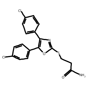 NC(=O)CCSc1nc(-c2ccc(Cl)cc2)c(-c2ccc(Cl)cc2)o1